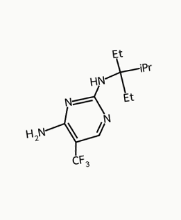 CCC(CC)(Nc1ncc(C(F)(F)F)c(N)n1)C(C)C